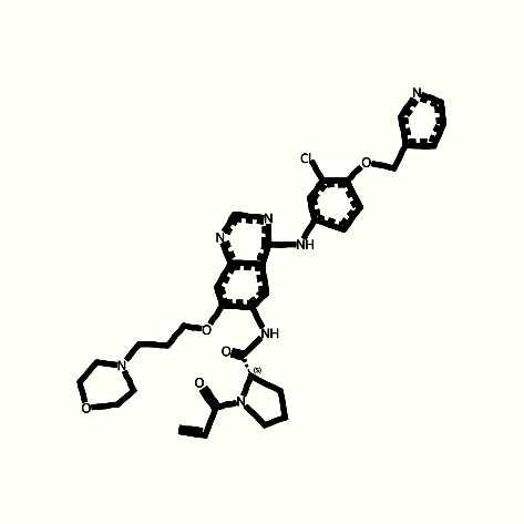 C=CC(=O)N1CCC[C@H]1C(=O)Nc1cc2c(Nc3ccc(OCc4cccnc4)c(Cl)c3)ncnc2cc1OCCCN1CCOCC1